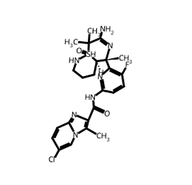 Cc1c(C(=O)Nc2ccc(F)c([C@@]3(C)N=C(N)C(C)(C)[SH]4(=O)NCCC[C@H]34)n2)nc2ccc(Cl)cn12